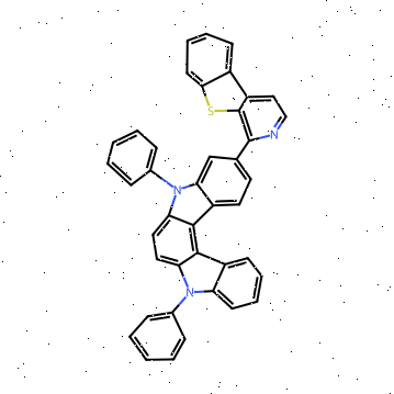 c1ccc(-n2c3ccccc3c3c4c5ccc(-c6nccc7c6sc6ccccc67)cc5n(-c5ccccc5)c4ccc32)cc1